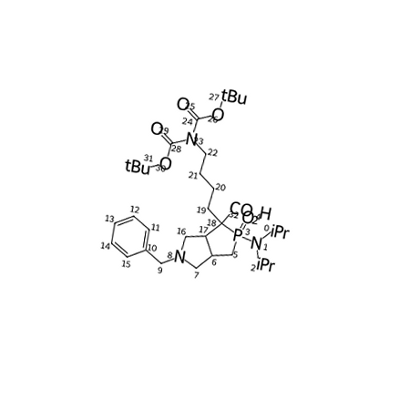 CC(C)N(C(C)C)P1(=O)CC2CN(Cc3ccccc3)CC2C1(CCCCN(C(=O)OC(C)(C)C)C(=O)OC(C)(C)C)C(=O)O